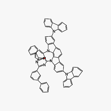 c1ccc(-c2cccc(-c3nc(-c4ccccc4)nc(-n4c5ccc(-n6c7ccccc7c7ccccc76)cc5c5ccc6c7cc(-n8c9ccccc9c9ccccc98)ccc7n(-c7ccccc7)c6c54)n3)c2)cc1